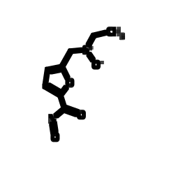 CC[S+]([O-])Cc1ccc(C(=O)N=O)o1